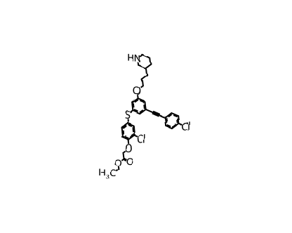 CCOC(=O)COc1ccc(Sc2cc(C#Cc3ccc(Cl)cc3)cc(OCCCC3CCCNC3)c2)cc1Cl